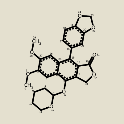 COc1cc2c(OC3CCCCO3)c3c(c(-c4ccc5c(c4)OCO5)c2cc1OC)C(=O)OC3